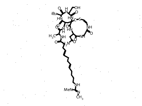 CCC(C)C1NC(=O)C(NC(=O)C(C)NC(=O)CC/C=C/CC/C=C/CCCCN/C(=N/C)NC)CC2(CS/C=C\NC(=O)CNC(=O)C(CC(N)=O)NC2=O)NC(=O)C(CO)NC1=O